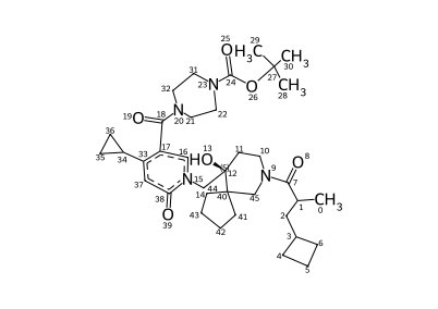 CC(CC1CCC1)C(=O)N1CC[C@@](O)(Cn2cc(C(=O)N3CCN(C(=O)OC(C)(C)C)CC3)c(C3CC3)cc2=O)C2(CCCC2)C1